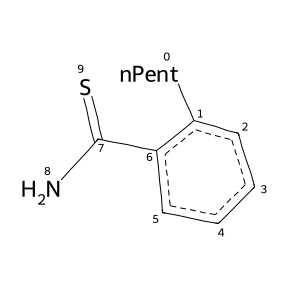 CCCCCc1ccccc1C(N)=S